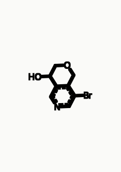 OC1COCc2c(Br)cncc21